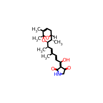 CC1=CC[C@H]2O[C@]1(C)O[C@H]([C@H](C)/C=C(C)/C=C/C(O)=C1/C(=O)CNC1=O)[C@H]2C